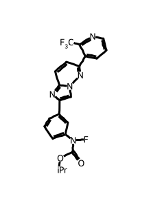 CC(C)OC(=O)N(F)c1cccc(-c2cn3nc(-c4cccnc4C(F)(F)F)ccc3n2)c1